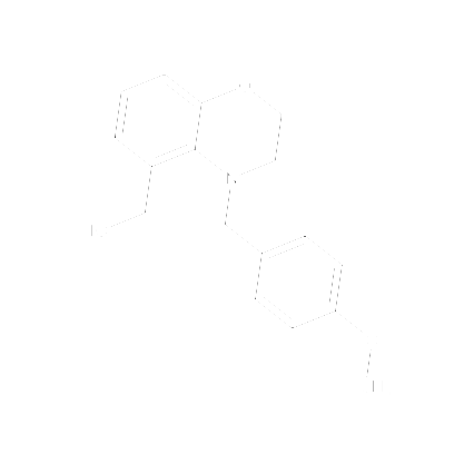 COc1ccc(CN2CCOc3cccc(CO)c32)cc1